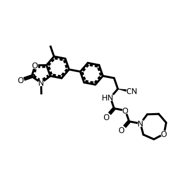 Cc1cc(-c2ccc(C[C@@H](C#N)NC(=O)OC(=O)N3CCCOCC3)cc2)cc2c1oc(=O)n2C